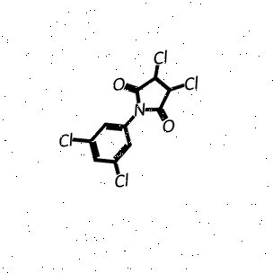 O=C1C(Cl)C(Cl)C(=O)N1c1cc(Cl)cc(Cl)c1